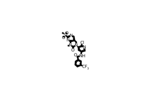 CN1C(=O)N(c2cc(NC(=O)c3cccc(C(F)(F)F)c3)cnc2Cl)Cc2cnc(S(C)(=O)=O)nc21